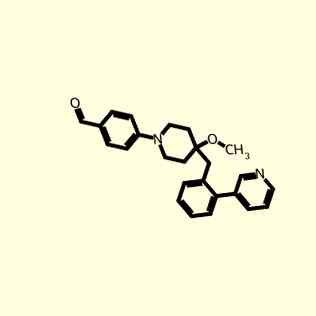 COC1(Cc2ccccc2-c2cccnc2)CCN(c2ccc(C=O)cc2)CC1